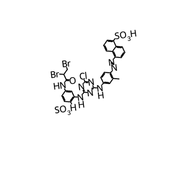 Cc1cc(Nc2nc(Cl)nc(Nc3cc(NC(=O)C(Br)CBr)ccc3S(=O)(=O)O)n2)ccc1N=Nc1cccc2c(S(=O)(=O)O)cccc12